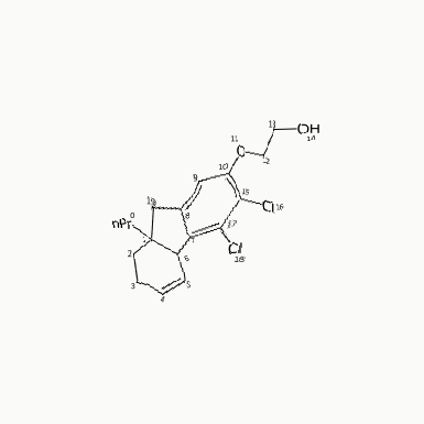 CCCC12CCC=CC1c1c(cc(OCCO)c(Cl)c1Cl)C2